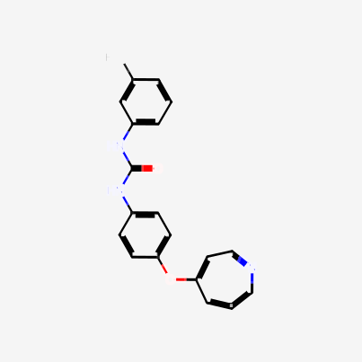 O=C(Nc1ccc(OC2=CC=NC=C=C2)cc1)Nc1cccc(C(F)(F)F)c1